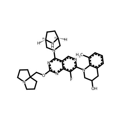 Cc1cccc2c1N(c1ncc3c(N4C[C@H]5CC[C@@H](C4)N5)nc(OCC45CCCN4CCC5)nc3c1F)CC(O)C2